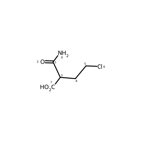 NC(=O)C(CCCl)C(=O)O